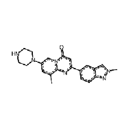 Cc1cc(N2CCNCC2)cn2c(=O)cc(-c3ccc4nn(C)cc4c3)nc12